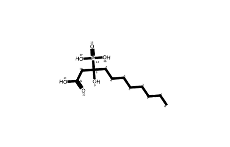 CCCCCCCCC(O)(CC(=O)O)P(=O)(O)O